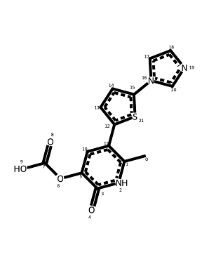 Cc1[nH]c(=O)c(OC(=O)O)cc1-c1ccc(-n2ccnc2)s1